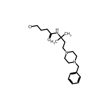 CC(C)(CCN1CCN(Cc2ccccc2)CC1)NC(=O)CCCCl